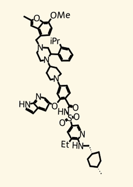 CCc1cc(S(=O)(=O)NC(=O)c2ccc(N3CCC(N4CCN(Cc5ccc(OC)c6oc(C)cc56)CC4c4ccccc4C(C)C)CC3)cc2Oc2cnc3[nH]ccc3c2)cnc1NC[C@H]1CC[C@@H](C)CC1